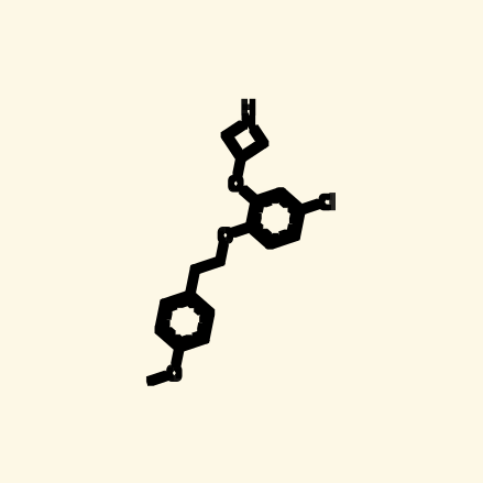 COc1ccc(CCOc2ccc(Cl)cc2OC2CNC2)cc1